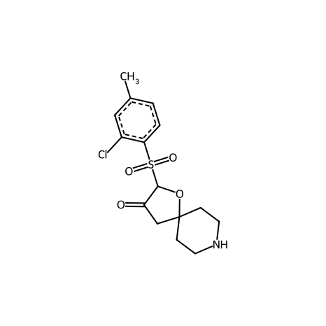 Cc1ccc(S(=O)(=O)C2OC3(CCNCC3)CC2=O)c(Cl)c1